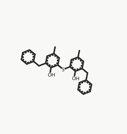 Cc1cc(Cc2ccccc2)c(O)c(Sc2cc(C)cc(Cc3ccccc3)c2O)c1